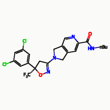 CCCCNC(=O)c1cc2c(cn1)CN(C1=NOC(c3cc(Cl)cc(Cl)c3)(C(F)(F)F)C1)C2